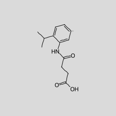 CC(C)c1cc[c]cc1NC(=O)CCC(=O)O